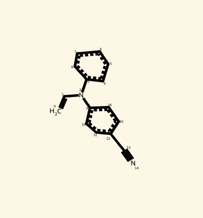 C=CN(c1ccccc1)c1ccc(C#N)cc1